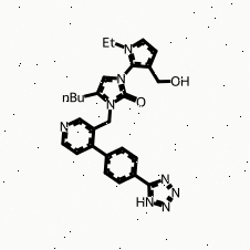 CCCCc1cn(-c2c(CO)ccn2CC)c(=O)n1Cc1cnccc1-c1ccc(-c2nnn[nH]2)cc1